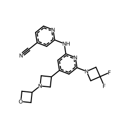 N#Cc1ccnc(Nc2cc(C3CN(C4COC4)C3)cc(N3CC(F)(F)C3)n2)c1